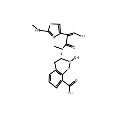 CNc1nc(/C(=N/O)C(=O)N(C)[C@H]2Cc3cccc(C(=O)O)c3OB2O)cs1